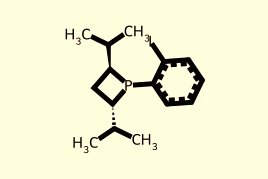 CC(C)[C@@H]1C[C@@H](C(C)C)P1c1ccccc1I